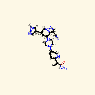 C=C(C(N)=O)c1ccc(N2CCN(c3cc(-c4cnn(C)c4)cn4ncc(C#N)c34)CC2)cn1